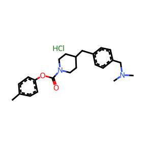 Cc1ccc(OC(=O)N2CCC(Cc3ccc(CN(C)C)cc3)CC2)cc1.Cl